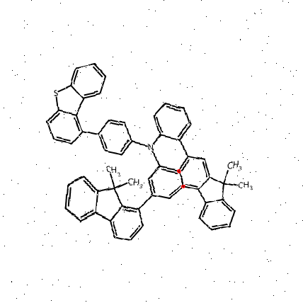 CC1(C)c2ccccc2-c2ccc(-c3ccccc3N(c3ccc(-c4cccc5sc6ccccc6c45)cc3)c3cccc(-c4cccc5c4C(C)(C)c4ccccc4-5)c3)cc21